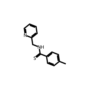 Cc1ccc(C(=S)NCc2ccccn2)cc1